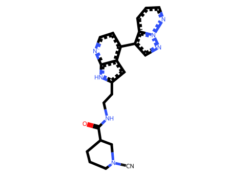 N#CN1CCCC(C(=O)NCCc2cc3c(-c4cnn5ncccc45)ccnc3[nH]2)C1